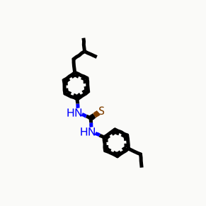 CCc1ccc(NC(=S)Nc2ccc(CC(C)C)cc2)cc1